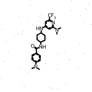 CN(C)c1ccc(C(=O)NC2CCC(Nc3cc(N(C)C)nc(C(F)(F)F)c3)CC2)cc1